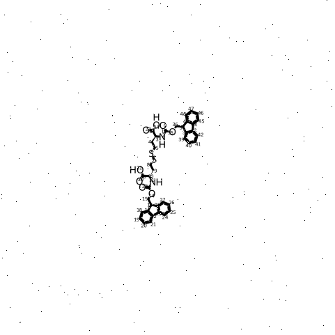 O=C(N[C@@H](CCSSCC[C@H](NC(=O)OCC1c2ccccc2-c2ccccc21)C(=O)O)C(=O)O)OCC1c2ccccc2-c2ccccc21